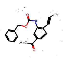 CCCC#Cc1ccc(C(=O)OC)cc1NC(=O)OCc1ccccc1